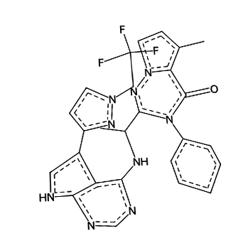 Cc1ccn2nc(C(C)Nc3ncnc4[nH]cc(-c5ccn(CC(F)(F)F)n5)c34)n(-c3ccccc3)c(=O)c12